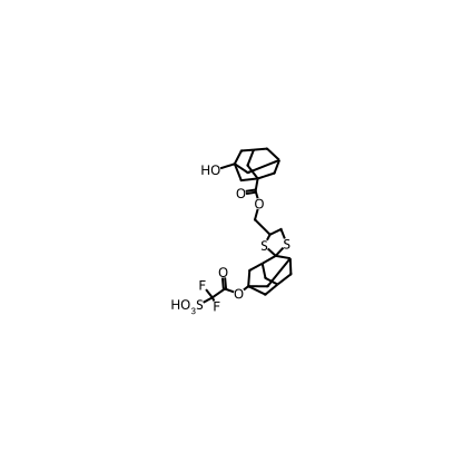 O=C(OCC1CSC2(S1)C1CC3CC2CC(OC(=O)C(F)(F)S(=O)(=O)O)(C3)C1)C12CC3CC(CC(O)(C3)C1)C2